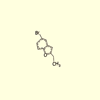 CCc1cc2cc(Br)ccc2o1